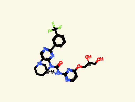 O=C(Nc1nccc(OC[C@H](O)CO)n1)N1c2nc(-c3cccc(C(F)(F)F)c3)ncc2N2CCC[C@H]1C2